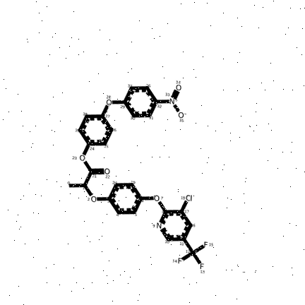 CC(Oc1ccc(Oc2ncc(C(F)(F)F)cc2Cl)cc1)C(=O)Oc1ccc(Oc2ccc([N+](=O)[O-])cc2)cc1